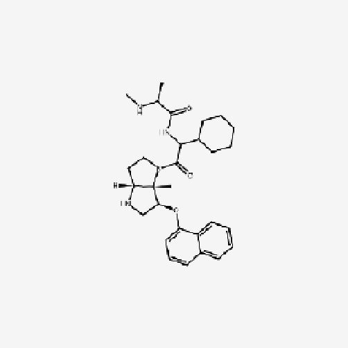 CN[C@@H](C)C(=O)NC(C(=O)N1CC[C@H]2NC[C@H](Oc3cccc4ccccc34)[C@]21C)C1CCCCC1